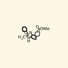 COC(=O)N1CCc2ccc(NC(C)Cc3ccccc3)c([N+](=O)[O-])c2C1